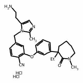 CCC1(c2cccc(Oc3cc(Cn4c(CCN)cnc4C)ccc3C#N)c2)CCCCN(C)C1=O.Cl.Cl